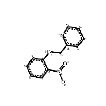 O=[N+]([O-])c1ccccc1NCc1ccccn1